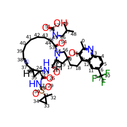 Cc1nc2ccc(C(F)(F)F)cc2c2c1O[C@]1(CC2)C[C@H]2C(=O)N[C@]3(C(=O)NS(=O)(=O)C4(C)CC4)C[C@H]3/C=C\CCCCC[C@H](N(CC(C)C)C(=O)O)C(=O)N2C1